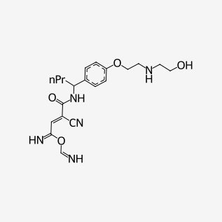 CCCC(NC(=O)/C(C#N)=C/C(=N)OC=N)c1ccc(OCCNCCO)cc1